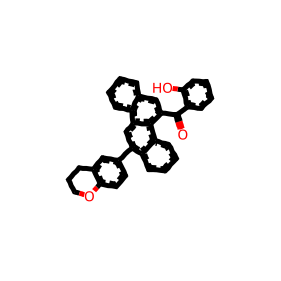 O=C(c1ccccc1O)c1cc2ccccc2c2cc(-c3ccc4c(c3)CCCO4)c3ccccc3c12